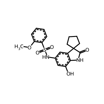 COc1ccccc1S(=O)(=O)Nc1cc(O)c2c(c1)C1(CCCC1)C(=O)N2